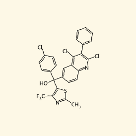 Cc1nc(C(F)(F)F)c(C(O)(c2ccc(Cl)cc2)c2ccc3nc(Cl)c(-c4ccccc4)c(Cl)c3c2)s1